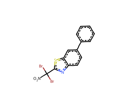 O=[N+]([O-])C(Br)(Br)c1nc2ccc(-c3ccccc3)cc2s1